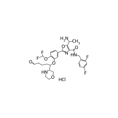 CC(N)c1oc(-c2ccc(OC(F)F)c(OC(CCCC=O)C3COCCN3)c2)nc1C(=O)NCc1ccc(F)cc1F.Cl